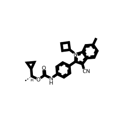 Cc1ccc2c(C#N)c(-c3ccc(NC(=O)O[C@H](C)C4CC4)cc3)n(C3CCC3)c2c1